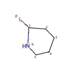 IC1CCCCN1